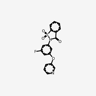 O=C1c2ccccc2S(=O)(=O)N1c1cc(F)cc(Oc2cccnc2)c1